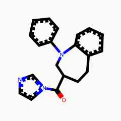 O=C(C1CCc2ccccc2N(c2ccccc2)C1)n1ccnc1